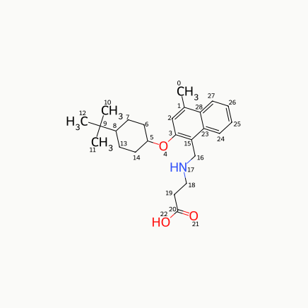 Cc1cc(OC2CCC(C(C)(C)C)CC2)c(CNCCC(=O)O)c2ccccc12